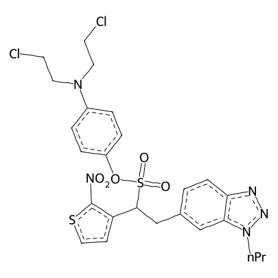 CCCn1nnc2ccc(CC(c3ccsc3[N+](=O)[O-])S(=O)(=O)Oc3ccc(N(CCCl)CCCl)cc3)cc21